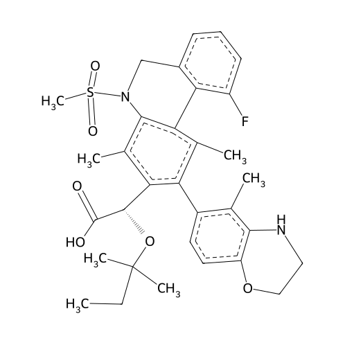 CCC(C)(C)O[C@H](C(=O)O)c1c(C)c2c(c(C)c1-c1ccc3c(c1C)NCCO3)-c1c(F)cccc1CN2S(C)(=O)=O